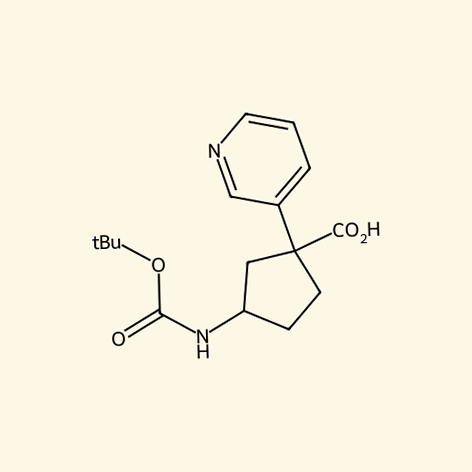 CC(C)(C)OC(=O)NC1CCC(C(=O)O)(c2cccnc2)C1